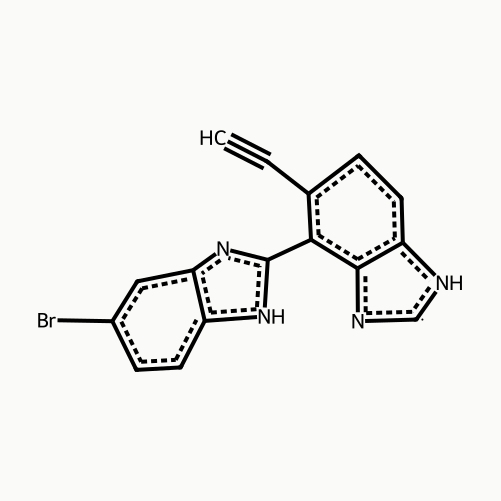 C#Cc1ccc2[nH][c]nc2c1-c1nc2cc(Br)ccc2[nH]1